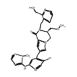 COC[C@H]1Cn2cc(-c3cc(Nc4ccnn4C)ncc3Cl)cc2C(=O)N1Cc1cccnc1CO